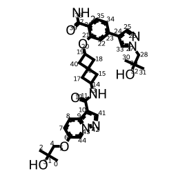 CC(C)(O)COc1ccc2c(C(=O)NC3CC4(C3)CC(Oc3cc(-c5cnn(CC(C)(C)O)c5)ccc3C(N)=O)C4)cnn2c1